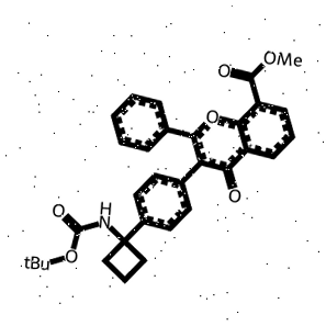 COC(=O)c1cccc2c(=O)c(-c3ccc(C4(NC(=O)OC(C)(C)C)CCC4)cc3)c(-c3ccccc3)oc12